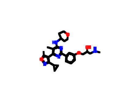 CNCC(O)COc1cccc(-c2nc(NC3CCOCC3)c(C)c(-c3c(C4CC4)noc3C)n2)c1